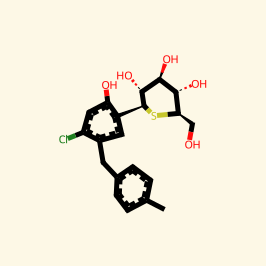 Cc1ccc(Cc2cc([C@@H]3S[C@H](CO)[C@@H](O)[C@H](O)[C@H]3O)c(O)cc2Cl)cc1